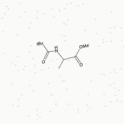 COC(=O)C(C)NC(=O)C(C)(C)C